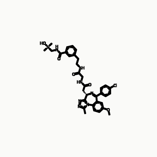 COc1ccc2c(c1)C(c1ccc(Cl)cc1)=N[C@@H](CC(=O)NCC(=O)NCCc1cccc(C(=O)NC[Si](C)(C)O)c1)c1nnc(C)n1-2